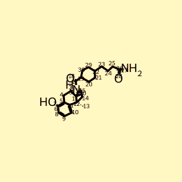 CC1(C)[C@H]2Cc3c(O)cccc3[C@]1(C)CCN2C(=O)C1CCC(CCCC(N)=O)CC1